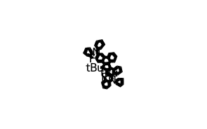 CC(C)(C)C1(C(C)(C)C)c2cc(N(c3ccccc3)c3ccccc3F)c3ccccc3c2-c2c1c1ccc(N(c3ccccc3)c3ccccc3F)cc1c1ccccc21